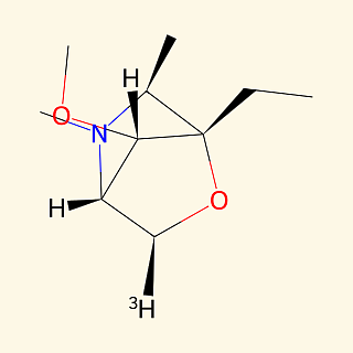 [3H][C@@H]1O[C@@]2(CC)[C@H](C)N(C)[C@@H]1[C@@H]2OC